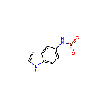 O=[SH](=O)Nc1ccc2[nH]ccc2c1